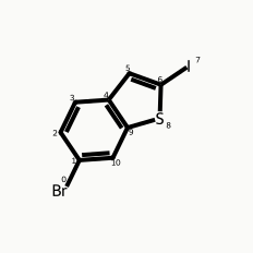 Brc1ccc2cc(I)sc2c1